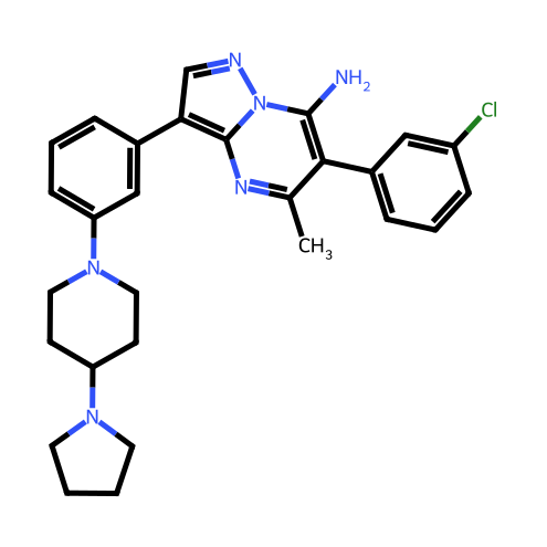 Cc1nc2c(-c3cccc(N4CCC(N5CCCC5)CC4)c3)cnn2c(N)c1-c1cccc(Cl)c1